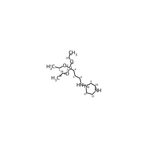 CCO[Si](CCCNN1CCNCC1)(OCC)OCC